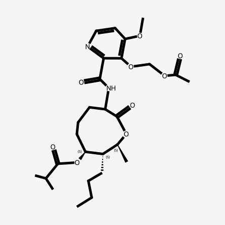 CCCC[C@H]1[C@H](C)OC(=O)C(NC(=O)c2nccc(OC)c2OCOC(C)=O)CCC[C@@H]1OC(=O)C(C)C